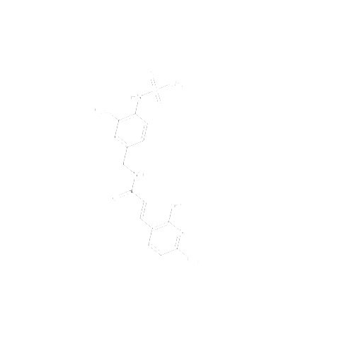 CCCc1nc(C(F)(F)F)ccc1/C=C/C(=O)NCc1ccc(NS(C)(=O)=O)c(C)c1